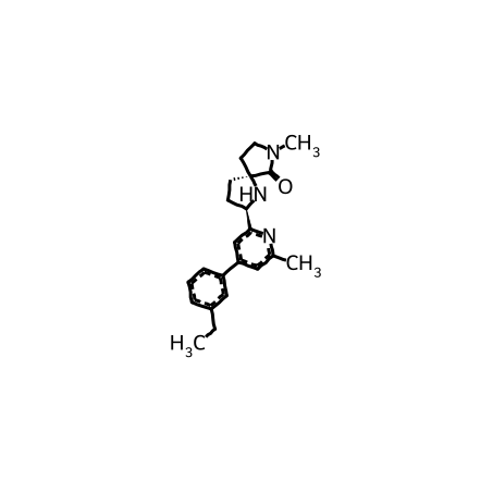 CCc1cccc(-c2cc(C)nc([C@H]3CC[C@@]4(CCN(C)C4=O)N3)c2)c1